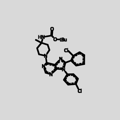 CC1(NC(=O)OC(C)(C)C)CCN(c2ncnc3c2nc(-c2ccccc2Cl)n3-c2ccc(Cl)cc2)CC1